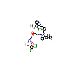 C#CCN(CCCSC(=O)CCCCCN1/C(=C\C=C2/CCCC(/C=C/C3=Nc4ccccc4C3(C)C)=C2Cl)C(C)(C)c2ccccc21)CCOc1ccc(Cl)cc1Cl